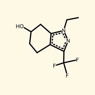 CCn1nc(C(F)(F)F)c2c1CC(O)CC2